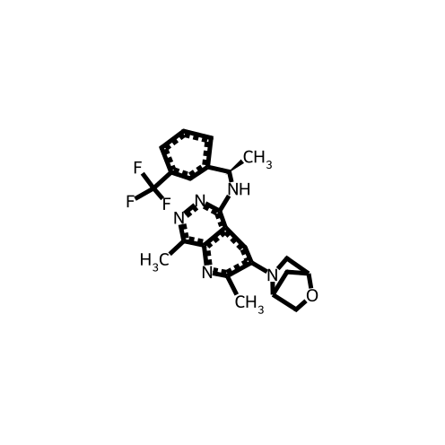 Cc1nc2c(C)nnc(N[C@H](C)c3cccc(C(F)(F)F)c3)c2cc1N1CC2CC1CO2